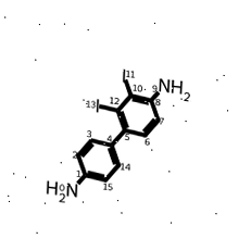 Nc1ccc(-c2ccc(N)c(I)c2I)cc1